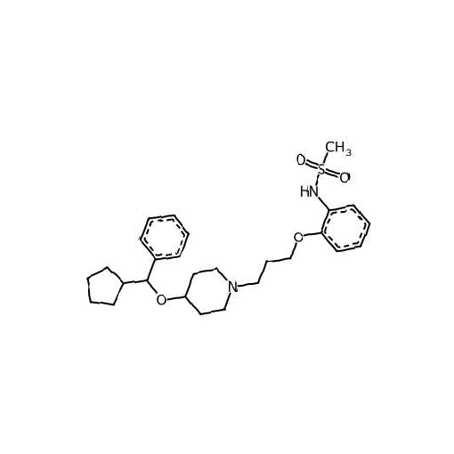 CS(=O)(=O)Nc1ccccc1OCCCN1CCC(OC(c2ccccc2)C2CCCC2)CC1